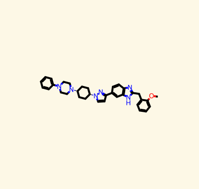 COc1ccccc1Cc1nc2ccc(-c3ccn([C@H]4CC[C@@H](N5CCN(c6ccccc6)CC5)CC4)n3)cc2[nH]1